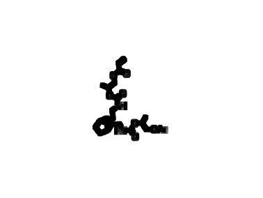 C=CC(=O)OCC(C)OC(=O)NCCC1C2CCC1C(CNC(=O)OC(C)COC(C)=O)C2